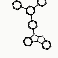 c1ccc(-c2cc(-c3ccccc3)cc(-c3ccc(N4c5ccccc5C5c6ccccc6OC54)cc3)c2)cc1